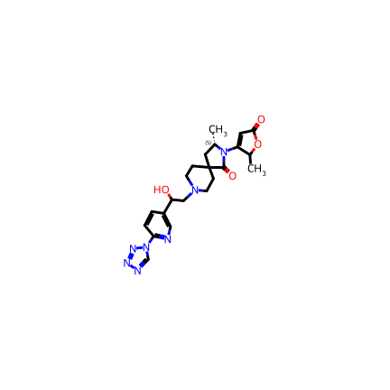 CC1OC(=O)C=C1N1C(=O)C2(CCN(CC(O)c3ccc(-n4cnnn4)nc3)CC2)C[C@@H]1C